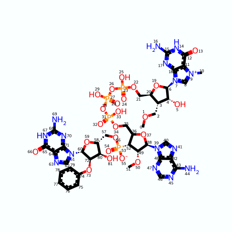 COC[C@H]1[C@@H](O)[C@H](n2c[n+](C)c3c(=O)[nH]c(N)nc32)O[C@@H]1COP(=O)(O)OP(=O)(O)OP(=O)(O)OCC1O[C@@H](n2cnc3c(N)ncnc32)[C@H](OC)[C@@H]1P(=O)([O-])OC[C@H]1O[C@@H](n2cnc3c(=O)[nH]c(N)nc32)[C@H](Oc2ccccc2)[C@@H]1O